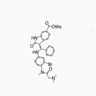 COC(=O)c1ccc2c(c1)NC(=O)/C2=C(\Nc1ccc(N(C)C(=O)CN(C)C)c(Br)c1)c1ccccc1